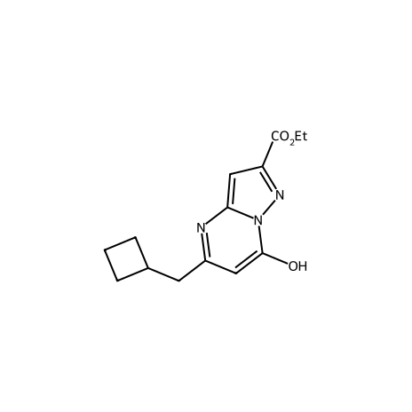 CCOC(=O)c1cc2nc(CC3CCC3)cc(O)n2n1